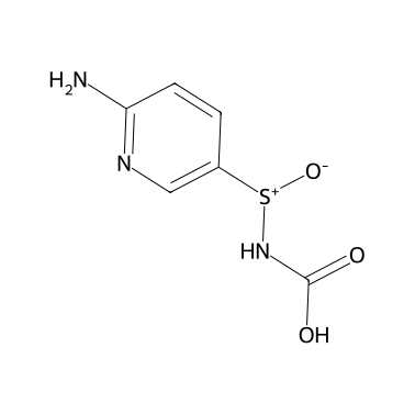 Nc1ccc([S+]([O-])NC(=O)O)cn1